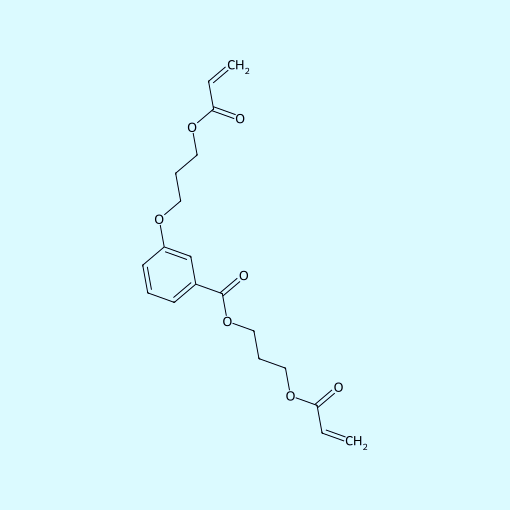 C=CC(=O)OCCCOC(=O)c1cccc(OCCCOC(=O)C=C)c1